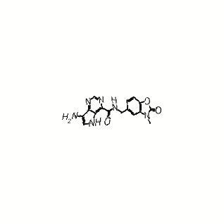 Cn1c(=O)oc2ccc(CNC(=O)c3ncnc4c(N)c[nH]c34)cc21